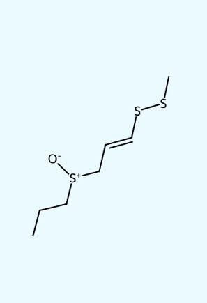 CCC[S+]([O-])CC=CSSC